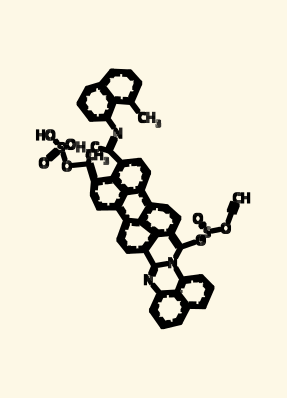 C#COS(=O)OC1=c2ccc3c4ccc(/C(C)=N/c5cccc6cccc(C)c56)c5/c(=C(\C)OS(=O)(=O)O)ccc(c6ccc(c2c36)C2=Nc3cccc6cccc(c36)N21)c54